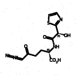 [N-]=[N+]=CC(=O)CC[C@H](NC(=O)[C@@H](O)c1nccs1)C(=O)O